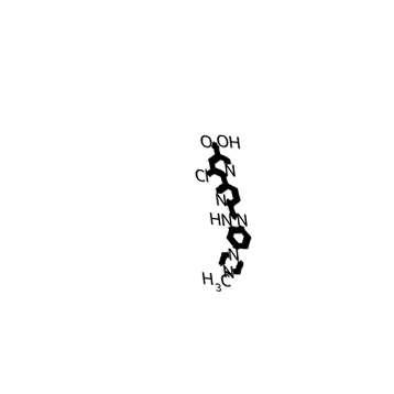 CN1CCN(c2ccc3nc(-c4ccc(-c5ncc(C(=O)O)cc5Cl)cn4)[nH]c3c2)CC1